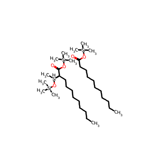 CCCCCCCCCC(C(=O)O[Si](C)(C)C)[SiH](C)O[Si](C)(C)C.CCCCCCCCCCC(=O)O[Si](C)(C)C